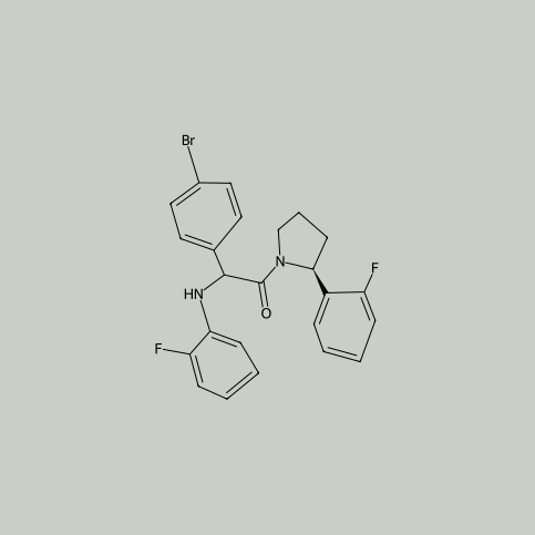 O=C(C(Nc1ccccc1F)c1ccc(Br)cc1)N1CCC[C@H]1c1ccccc1F